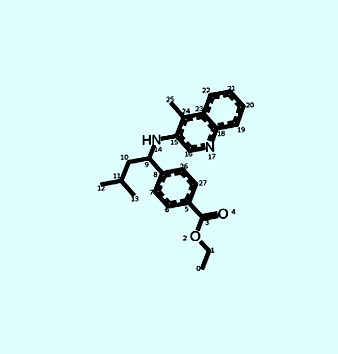 CCOC(=O)c1ccc(C(CC(C)C)Nc2cnc3ccccc3c2C)cc1